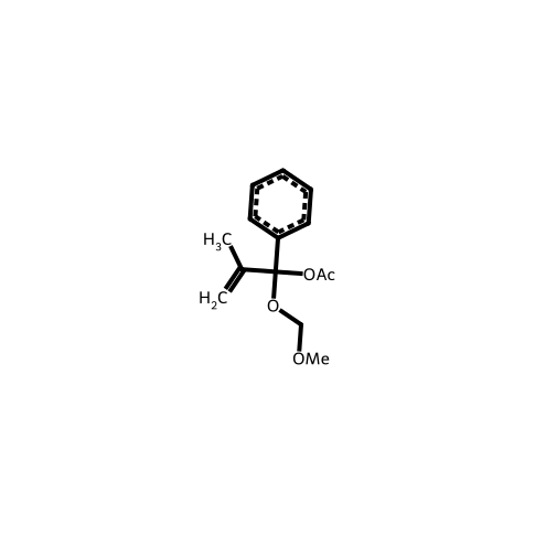 C=C(C)C(OCOC)(OC(C)=O)c1ccccc1